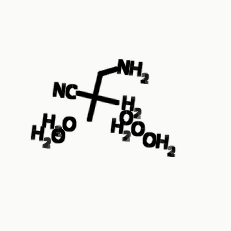 CC(C)(C#N)CN.O.O.O.O.O